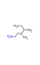 CCC(C)[C@H](C)CCN